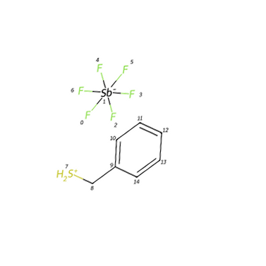 [F][Sb-]([F])([F])([F])([F])[F].[SH2+]Cc1ccccc1